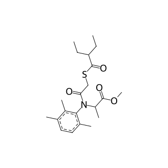 CCC(CC)C(=O)SCC(=O)N(c1c(C)ccc(C)c1C)C(C)C(=O)OC